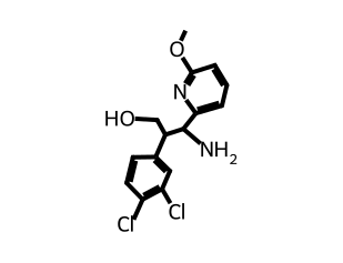 COc1cccc(C(N)C(CO)c2ccc(Cl)c(Cl)c2)n1